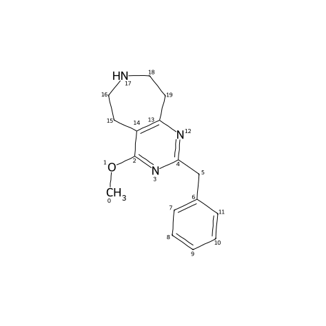 COc1nc(Cc2ccccc2)nc2c1CCNCC2